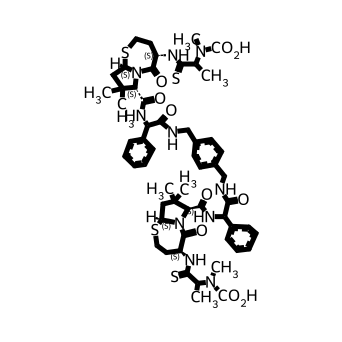 CC(C(=S)N[C@H]1CCS[C@H]2CC(C)(C)[C@@H](C(=O)NC(C(=O)NCc3ccc(CNC(=O)C(NC(=O)[C@H]4N5C(=O)[C@@H](NC(=S)C(C)N(C)C(=O)O)CCS[C@H]5CC4(C)C)c4ccccc4)cc3)c3ccccc3)N2C1=O)N(C)C(=O)O